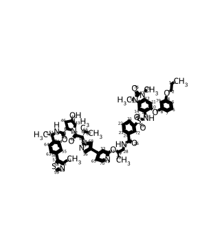 CCCOc1cccc(Oc2cc3c(cc2NS(=O)(=O)c2cccc(C(=O)NC[C@@H](C)Oc4cc(-c5cnn([C@H](C(=O)N6C[C@H](O)C[C@H]6C(=O)N[C@@H](C)c6ccc(-c7scnc7C)cc6)C(C)C)c5)ccn4)c2)n(C)c(=O)n3C)c1